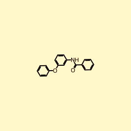 O=C(Nc1cccc(Oc2ccccc2)c1)c1ccccc1